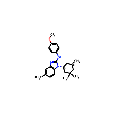 C[C@@H]1C[C@@H](n2c(Nc3ccc(OC(F)(F)F)cc3)nc3cc(C(=O)O)ccc32)CC(C)(C)C1